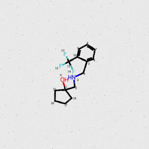 OC1(CNCc2ccccc2C(F)(F)F)CCCC1